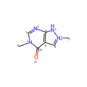 Cn1cnc2[nH][n+](C)cc2c1=O